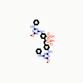 COc1nc(Nc2ccccc2)nc(Nc2ccc(C=Cc3ccc(Nc4nc(Nc5ccccc5)nc(OC)n4)cc3S(=O)(=O)O)c(S(=O)(=O)O)c2)n1